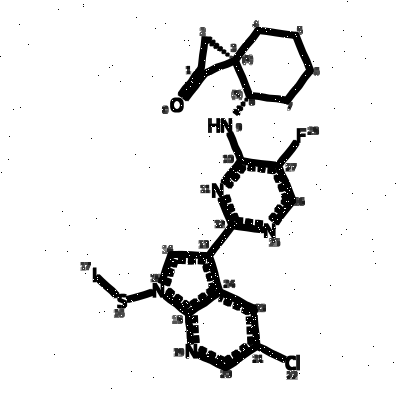 O=C1C[C@@]12CCCC[C@@H]2Nc1nc(-c2cn(SI)c3ncc(Cl)cc23)ncc1F